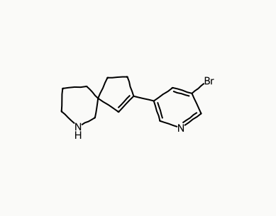 Brc1cncc(C2=CC3(CCCNC3)CC2)c1